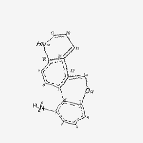 Nc1cccc2c1-c1ccc3c(c1=CO2)=CC=CN3